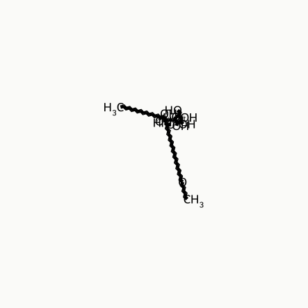 CCCCCCCCCCCCCC[C@@H](O)[C@@H](O)[C@H](CC[C@H]1OC(CO)[C@H](O)C(O)C1O)NC(=O)CCCCCCCCCCCCCCCCCCCOCCCCCC